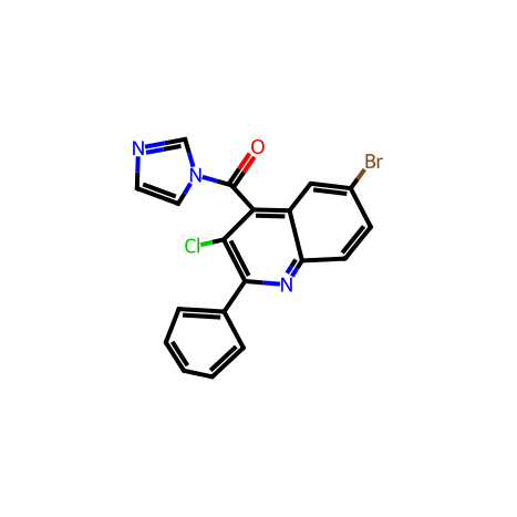 O=C(c1c(Cl)c(-c2ccccc2)nc2ccc(Br)cc12)n1ccnc1